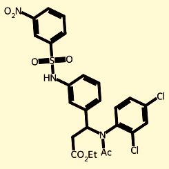 CCOC(=O)CC(c1cccc(NS(=O)(=O)c2cccc([N+](=O)[O-])c2)c1)N(C(C)=O)c1ccc(Cl)cc1Cl